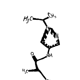 CC(C)C(=O)Nc1cnn(C(C)C)c1